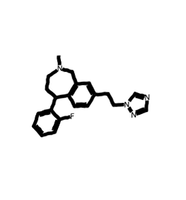 CN1CCC(c2ccccc2F)c2ccc(CCn3cncn3)cc2C1